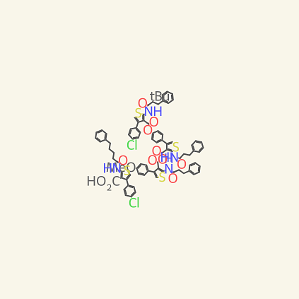 COc1ccc(-c2csc(NC(=O)CCc3ccccc3)c2C(=O)OC(=O)c2c(-c3ccc(OC(=O)c4c(-c5ccc(Cl)cc5)csc4NC(=O)C(Cc4ccccc4)C(C)(C)C)cc3)csc2NC(=O)CCc2ccccc2)cc1.O=C(CCCCc1ccccc1)Nc1scc(-c2ccc(Cl)cc2)c1C(=O)O